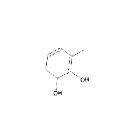 CC1=C(O)C(O)CC=C1